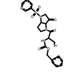 CC(C)CC(NC(=O)OCc1ccccc1)C(=O)N1CCC2C1C(=O)CN2S(=O)(=O)c1cccnc1